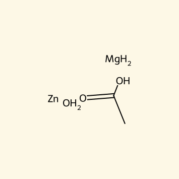 CC(=O)O.O.[MgH2].[Zn]